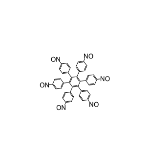 O=Nc1ccc(-c2c(-c3ccc(N=O)cc3)c(-c3ccc(N=O)cc3)c(-c3ccc(N=O)cc3)c(-c3ccc(N=O)cc3)c2-c2ccc(N=O)cc2)cc1